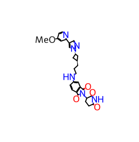 COc1ccnc(-c2cnn([C@H]3C[C@H](CCCNc4ccc5c(c4)C(=O)N(C4CCC(=O)NC4=O)C5=O)C3)c2)c1